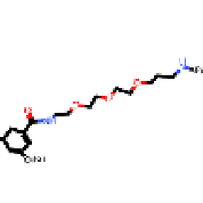 CC(C)COC1=CC(C)CC(C(=O)NCCOCCOCCOCCCNC(C)C)=C1